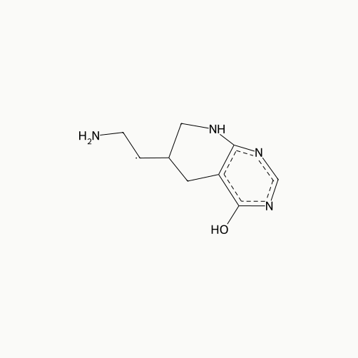 NC[CH]C1CNc2ncnc(O)c2C1